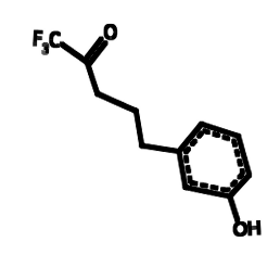 O=C(CCCc1cccc(O)c1)C(F)(F)F